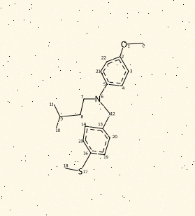 COc1ccc(N(CCC(C)C)Cc2ccc(SC)cc2)cc1